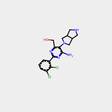 Nc1nc(-c2cccc(Cl)c2Cl)nc(CO)c1N1CC2CNCC2C1